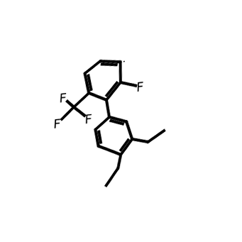 CCc1ccc(-c2c(F)[c]ccc2C(F)(F)F)cc1CC